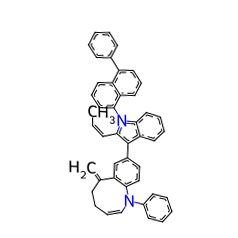 C=C1CC/C=C\N(c2ccccc2)c2ccc(-c3c(/C=C\C)n(-c4cccc5c(-c6ccccc6)cccc45)c4ccccc34)cc21